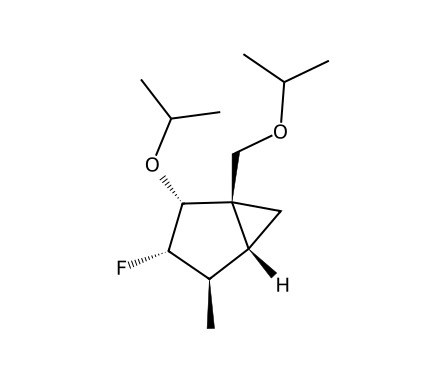 CC(C)OC[C@@]12C[C@@H]1[C@@H](C)[C@H](F)[C@@H]2OC(C)C